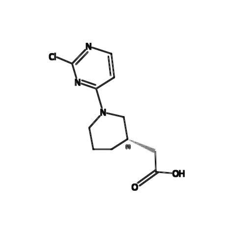 O=C(O)C[C@@H]1CCCN(c2ccnc(Cl)n2)C1